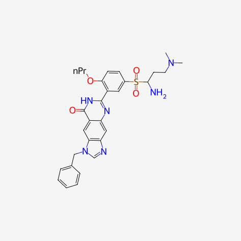 CCCOc1ccc(S(=O)(=O)C(N)CCN(C)C)cc1-c1nc2cc3ncn(Cc4ccccc4)c3cc2c(=O)[nH]1